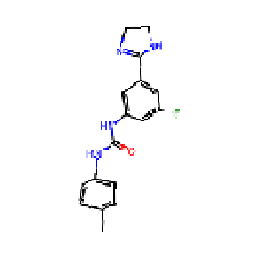 Cc1ccc(NC(=O)Nc2cc(F)cc(C3=NCCN3)c2)cc1